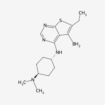 Bc1c(CC)sc2ncnc(N[C@H]3CC[C@H](N(C)C)CC3)c12